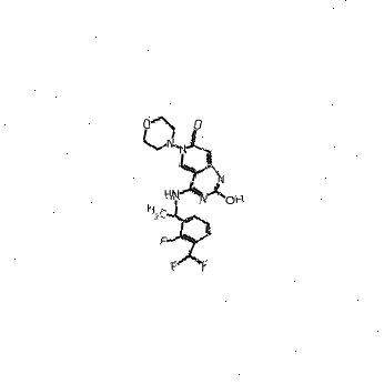 CC(Nc1nc(O)nc2cc(=O)n(N3CCOCC3)cc12)c1cccc(C(F)F)c1F